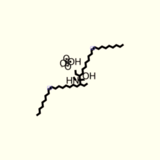 CCCCCCCC/C=C\CCCCCCCC(CC)C(CO)(NC)C(CC)CCCCCCC/C=C\CCCCCCCC.COS(=O)(=O)O